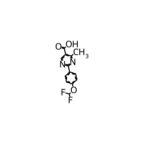 Cc1nc(-c2ccc(OC(F)F)cc2)ncc1C(=O)O